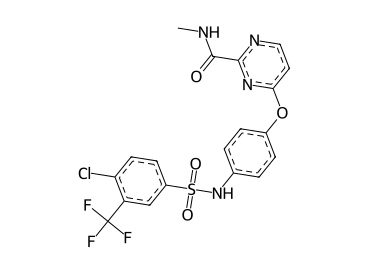 CNC(=O)c1nccc(Oc2ccc(NS(=O)(=O)c3ccc(Cl)c(C(F)(F)F)c3)cc2)n1